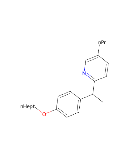 CCCCCCCOc1ccc(C(C)c2ccc(CCC)cn2)cc1